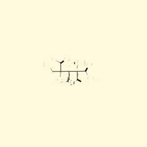 CC(=O)[C@](O)(C(=O)Br)[C@@](O)(C(C)=O)[C@](O)(CO)C(C)=O